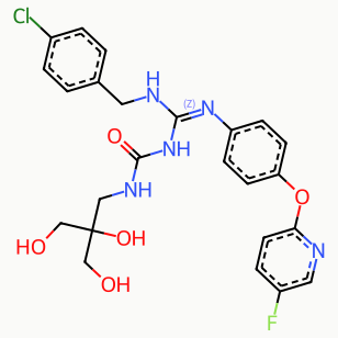 O=C(NCC(O)(CO)CO)N/C(=N\c1ccc(Oc2ccc(F)cn2)cc1)NCc1ccc(Cl)cc1